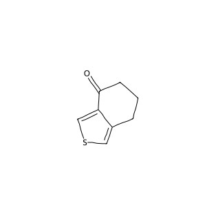 O=C1CCCc2cscc21